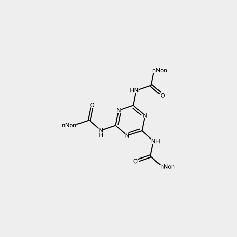 CCCCCCCCCC(=O)Nc1nc(NC(=O)CCCCCCCCC)nc(NC(=O)CCCCCCCCC)n1